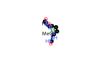 COc1nc(-c2cccc(-c3cccc(-c4ccn5c(=O)c(CN6CCN7C(=O)CC[C@@H]7C6)cnc5c4)c3Cl)c2Cl)ccc1CNC[C@@H]1CCC(=O)N1